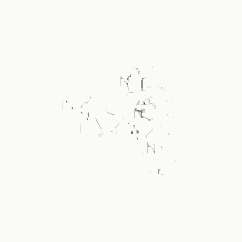 CNC(=O)Nc1ccc(-c2nc(N3CCOC[C@@H]3C)cc(C3(S(=O)(=O)c4c(C)noc4C)CC3)n2)cc1